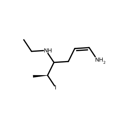 CCNC(C/C=C\N)[C@H](C)I